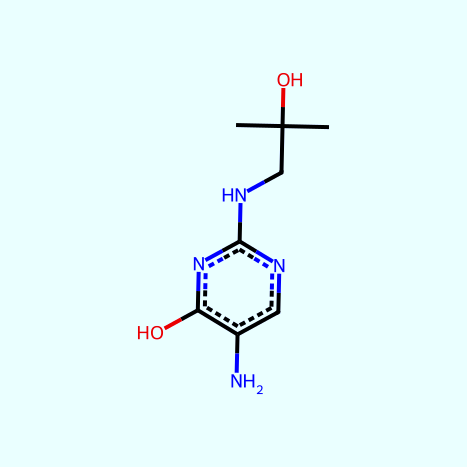 CC(C)(O)CNc1ncc(N)c(O)n1